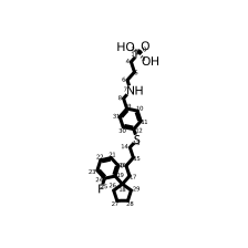 O=P(O)(O)CCCNCc1ccc(SCCCCC2(c3ccccc3F)CCCC2)cc1